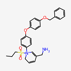 CCCS(=O)(=O)[N+]1(c2ccc(Oc3ccc(OCc4ccccc4)cc3)cc2)C=C(CN)C=CC1